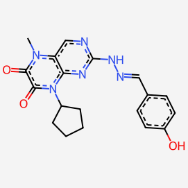 Cn1c(=O)c(=O)n(C2CCCC2)c2nc(NN=Cc3ccc(O)cc3)ncc21